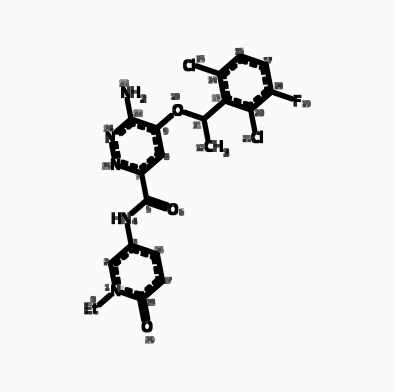 CCn1cc(NC(=O)c2cc(OC(C)c3c(Cl)ccc(F)c3Cl)c(N)nn2)ccc1=O